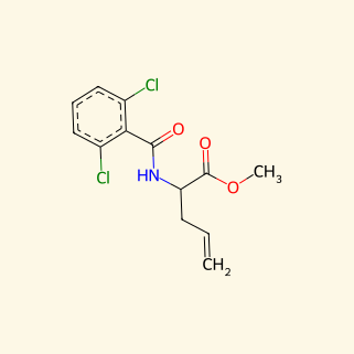 C=CCC(NC(=O)c1c(Cl)cccc1Cl)C(=O)OC